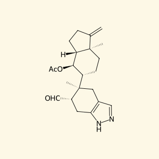 C=C1CC[C@H]2[C@H](OC(C)=O)[C@@H]([C@@]3(C)Cc4cn[nH]c4C[C@@H]3C=O)CC[C@]12C